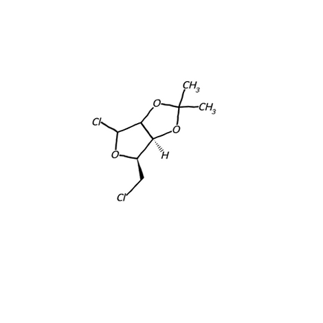 CC1(C)OC2C(Cl)O[C@H](CCl)[C@@H]2O1